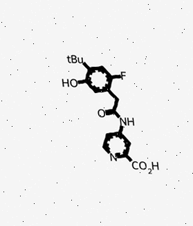 CC(C)(C)c1cc(F)c(CC(=O)Nc2ccnc(C(=O)O)c2)cc1O